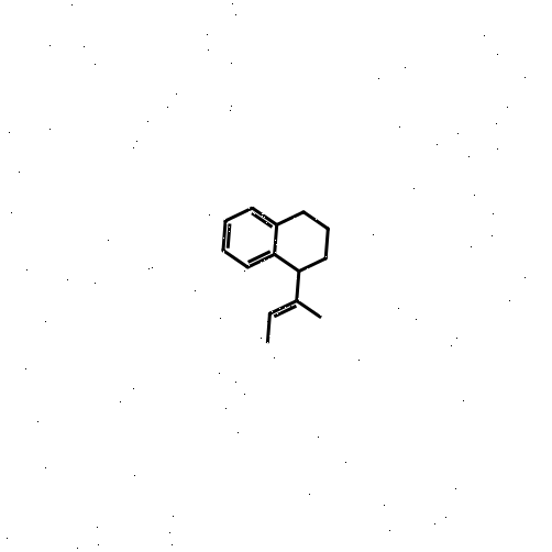 CC=C(C)C1CCCc2ccccc21